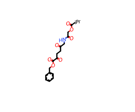 CC(C)C(=O)OCC(=O)NCC(=O)CCC(=O)C(=O)OCc1ccccc1